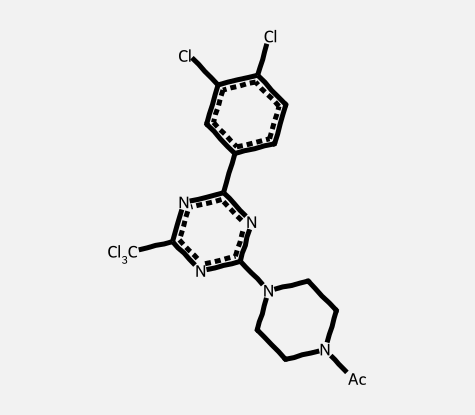 CC(=O)N1CCN(c2nc(-c3ccc(Cl)c(Cl)c3)nc(C(Cl)(Cl)Cl)n2)CC1